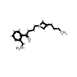 CCCCC1CN(CCCC(=O)c2ccccc2CN)C1